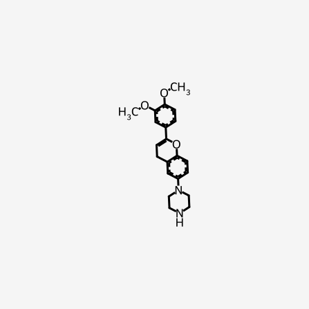 COc1ccc(C2=CCc3cc(N4CCNCC4)ccc3O2)cc1OC